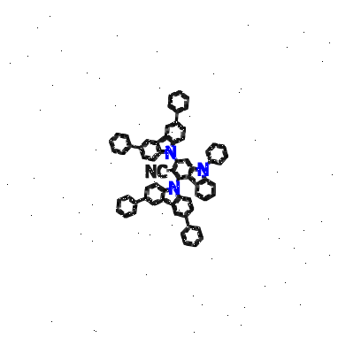 N#Cc1c(-n2c3ccc(-c4ccccc4)cc3c3cc(-c4ccccc4)ccc32)cc2c(c1-n1c3ccc(-c4ccccc4)cc3c3cc(-c4ccccc4)ccc31)c1ccccc1n2-c1ccccc1